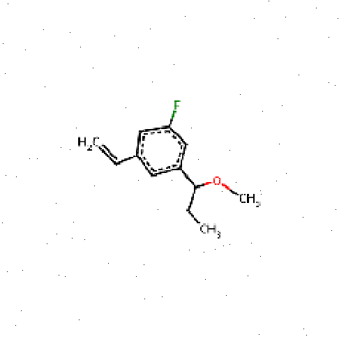 C=Cc1cc(F)cc(C(CC)OC)c1